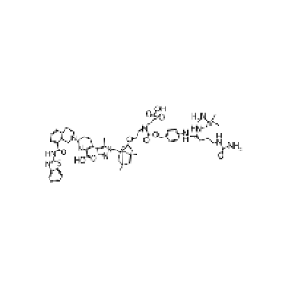 Cc1c(-c2ccc(N3CCc4cccc(C(=O)Nc5nc6ccccc6s5)c4C3)nc2C(=O)O)cnn1CC12CC3(C)CC(C)(C1)CC(OCCN(CCS(=O)(=O)O)C(=O)OCc1ccc(NC[C@H](CCCNC(N)=O)NC[C@@H](N)C(C)C)cc1)(C3)C2